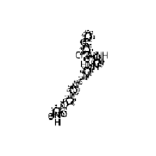 O=C1CCC(N2Cc3ccc(N4CCN(CCCCN5CCC(Nc6ncnc7[nH]cc(C(=O)c8ccc(Oc9ccccc9)cc8Cl)c67)CC5)CC4)cc3C2)C(=O)N1